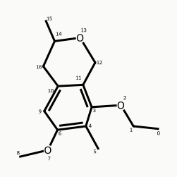 CCOc1c(C)c(OC)cc2c1COC(C)C2